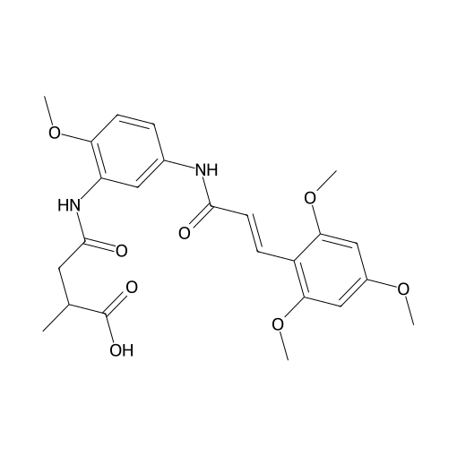 COc1cc(OC)c(C=CC(=O)Nc2ccc(OC)c(NC(=O)CC(C)C(=O)O)c2)c(OC)c1